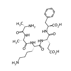 C[C@H](N)C(=O)N[C@@H](C)C(=O)N[C@@H](CCCCN)C(=O)N[C@@H](CCC(=O)O)C(=O)N[C@@H](Cc1ccccc1)C(=O)O